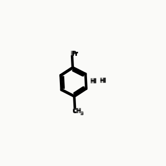 Cc1ccc(C(C)C)cc1.I.I